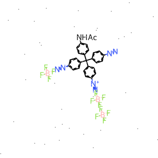 CC(=O)Nc1ccc(C(c2ccc([N+]#N)cc2)(c2ccc([N+]#N)cc2)c2ccc([N+]#N)cc2)cc1.F[B-](F)(F)F.F[B-](F)(F)F.F[B-](F)(F)F